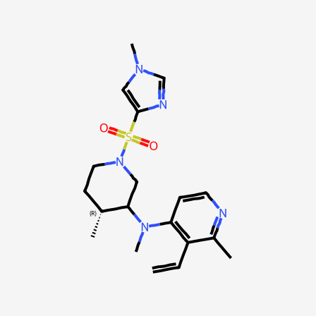 C=Cc1c(N(C)C2CN(S(=O)(=O)c3cn(C)cn3)CC[C@H]2C)ccnc1C